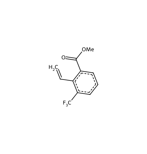 C=Cc1c(C(=O)OC)cccc1C(F)(F)F